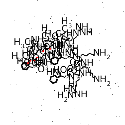 CC[C@H](C)[C@H](NC(=O)[C@@H](NC(=O)[C@@H]1CCCN1C(=O)[C@H](CC(C)C)NC(=O)[C@H](Cc1ccccc1)NC(=O)[C@H](C)NC(=O)[C@H](CCCCN)NC(=O)[C@H](C)N)[C@@H](C)CC)C(=O)N[C@@H](CCCNC(=N)N)C(=O)N[C@@H](Cc1c[nH]c2ccccc12)C(=O)N[C@@H](CCCCN)C(=O)N[C@@H](CCCCN)C(=O)N[C@@H](CCCNC(=N)N)C(=O)N[C@@H](Cc1c[nH]c2ccccc12)C(=O)O